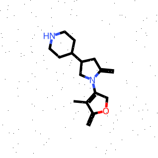 C=C1OCC(N2CC(C3CCNCC3)CC2=C)=C1C